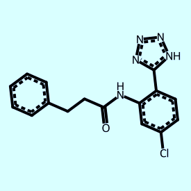 O=C(CCc1ccccc1)Nc1cc(Cl)ccc1-c1nnn[nH]1